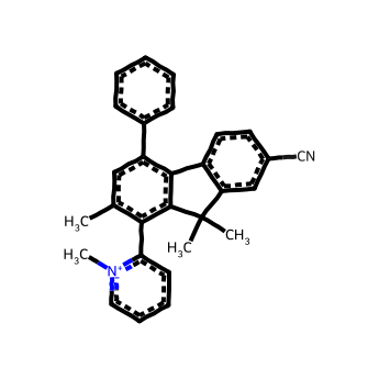 Cc1cc(-c2ccccc2)c2c(c1-c1cccc[n+]1C)C(C)(C)c1cc(C#N)ccc1-2